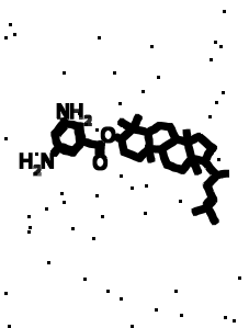 CC(C)=CCC(C)C1CCC2(C)C3CCC4C(C)(C)C(OC(=O)c5cc(N)cc(N)c5)CCC4(C)C3CCC12C